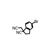 N#CCC1(C#N)CCc2cc(Br)ccc21